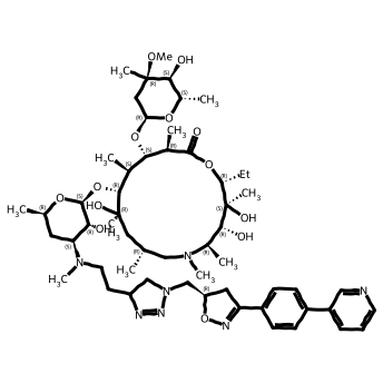 CC[C@H]1OC(=O)[C@H](C)[C@@H](O[C@H]2C[C@@](C)(OC)[C@@H](O)[C@H](C)O2)[C@H](C)[C@@H](O[C@@H]2O[C@H](C)C[C@H](N(C)CCC3CN(C[C@H]4CC(c5ccc(-c6cccnc6)cc5)=NO4)N=N3)[C@H]2O)[C@](C)(O)C[C@@H](C)CN(C)[C@H](C)[C@@H](O)[C@]1(C)O